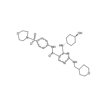 O=C(Nc1ccc(S(=O)(=O)N2CCOCC2)cc1)c1cnc(NCC2CCOCC2)nc1N[C@H]1CC[C@H](O)CC1